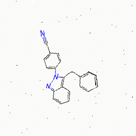 N#Cc1ccc(-n2nc3ccccc3c2Cc2ccccc2)cc1